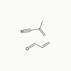 C=C(C)C#N.C=CC=O